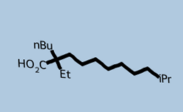 CCCCC(CC)(CCCCCCCC(C)C)C(=O)O